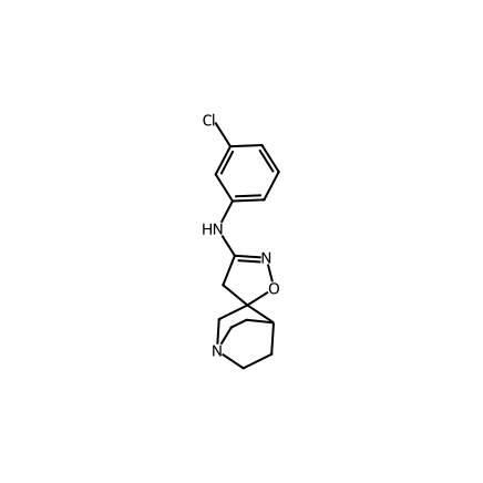 Clc1cccc(NC2=NOC3(C2)CN2CCC3CC2)c1